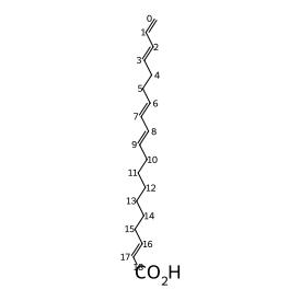 C=C/C=C/CC/C=C/C=C/CCCCCC/C=C/C(=O)O